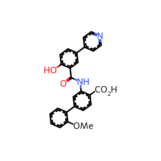 COc1ccccc1-c1ccc(C(=O)O)c(NC(=O)c2cc(-c3ccncc3)ccc2O)c1